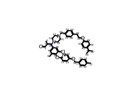 C/C(C=O)=C(/c1cc(C)c(Oc2ccc(OCc3ccc(C)cc3)cn2)c(Cl)c1)N1CCN(Cc2ccc(CCOc3ccc(C(C)C)cc3)cc2)CC1